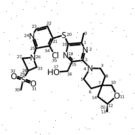 Cc1nc(N2CCC3(CC2)CO[C@@H](C)C3)c(CO)nc1Sc1ccnc(N2CC(S(C)(=O)=O)C2)c1Cl